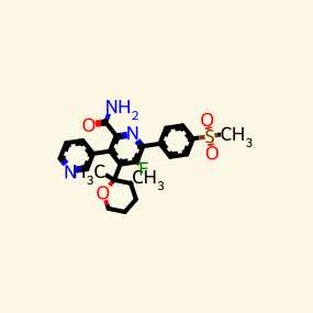 CC1CCCOC1(C)c1c(F)c(-c2ccc(S(C)(=O)=O)cc2)nc(C(N)=O)c1-c1cccnc1